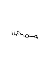 CCCCCc1ccc(C#Cc2ccsc2)cc1